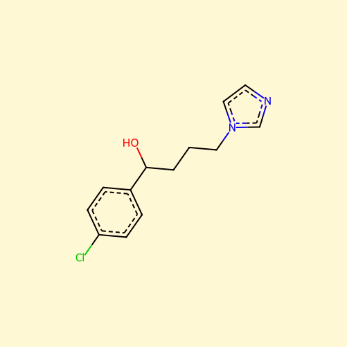 OC(CCCn1ccnc1)c1ccc(Cl)cc1